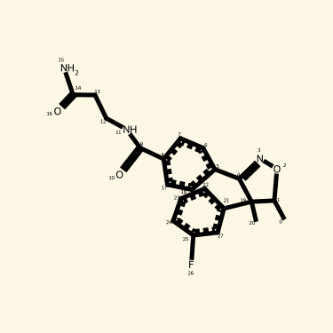 CC1ON=C(c2ccc(C(=O)NCCC(N)=O)cc2)C1(C)c1cccc(F)c1